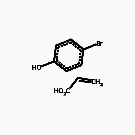 C=CC(=O)O.Oc1ccc(Br)cc1